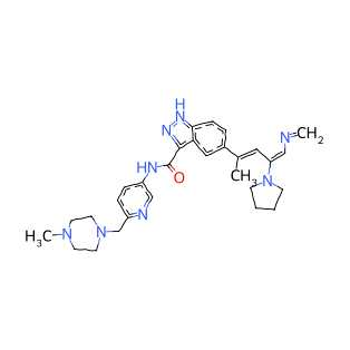 C=N/C=C(\C=C(/C)c1ccc2[nH]nc(C(=O)Nc3ccc(CN4CCN(C)CC4)nc3)c2c1)N1CCCC1